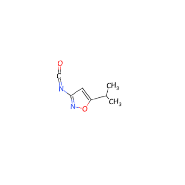 CC(C)c1cc(N=C=O)no1